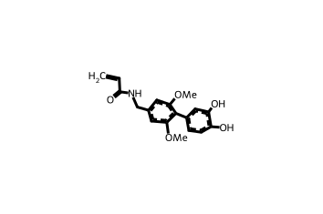 C=CC(=O)NCc1cc(OC)c(-c2ccc(O)c(O)c2)c(OC)c1